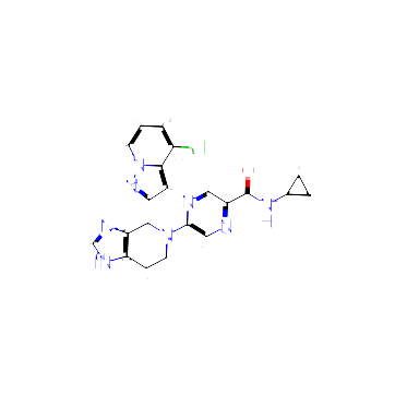 O=C(NC1CC1)c1cnc(N2CCc3[nH]cnc3[C@@H]2c2cc3c(Cl)cccn3n2)cn1